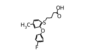 Cc1ccc(SCCCC(=O)O)c(Oc2ccc(F)cc2)c1